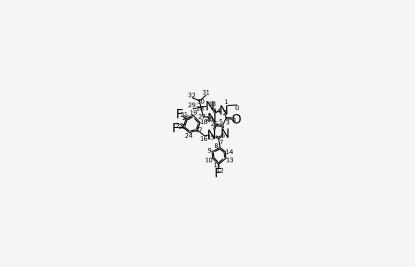 CCN1C(=O)c2nc(-c3ccc(F)cc3)n(Cc3ccc(F)c(F)c3)c2N2CC(C)(C(C)C)N=C12